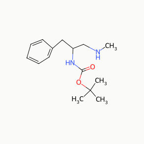 CNCC(Cc1ccccc1)NC(=O)OC(C)(C)C